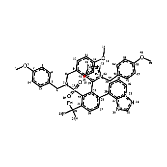 COc1ccc(CN(Cc2ccc(OC)cc2)S(=O)(=O)c2c(C(F)(F)F)ccc(-c3cccn4ncnc34)c2-c2nnnn2Cc2ccc(OC)cc2)cc1